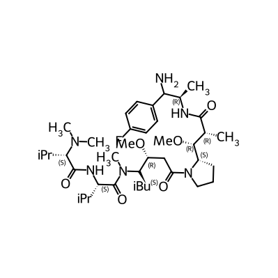 CC[C@H](C)C([C@@H](CC(=O)N1CCC[C@H]1[C@H](OC)[C@@H](C)C(=O)N[C@H](C)C(N)c1ccc(F)cc1)OC)N(C)C(=O)[C@@H](NC(=O)[C@H](C(C)C)N(C)C)C(C)C